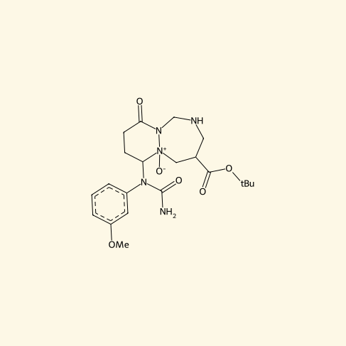 COc1cccc(N(C(N)=O)C2CCC(=O)N3CNCC(C(=O)OC(C)(C)C)C[N+]23[O-])c1